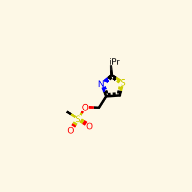 CC(C)c1nc(COS(C)(=O)=O)cs1